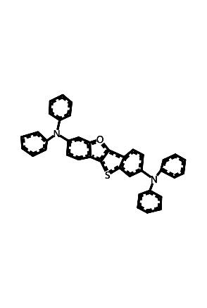 c1ccc(N(c2ccccc2)c2ccc3c(c2)oc2c4ccc(N(c5ccccc5)c5ccccc5)cc4sc32)cc1